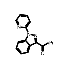 CC(C)C(=O)c1nn(-c2ccccn2)c2ccccc12